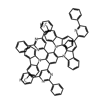 Cc1ccc2c(c1)c1ccccc1n2-c1c(-c2cc(-c3ccccc3)nc(-c3ccccc3)n2)cc(-n2c3ccccc3c3cc(-c4cccc(-c5ccccc5)n4)ccc32)c(-n2c3ccccc3c3cc(C)ccc32)c1-c1cc(-c2ccccc2)nc(-c2ccccc2)n1